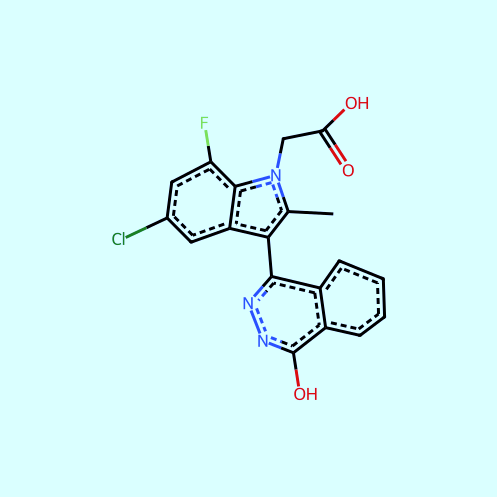 Cc1c(-c2nnc(O)c3ccccc23)c2cc(Cl)cc(F)c2n1CC(=O)O